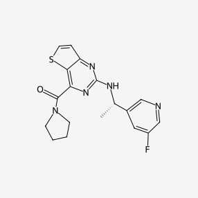 C[C@H](Nc1nc(C(=O)N2CCCC2)c2sccc2n1)c1cncc(F)c1